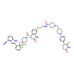 N#Cc1cccc2[nH]c(-c3ccccc3OC3(C(F)(F)F)CCN(C(=O)[C@H]4CC(=O)Nc5cc(OCCNC(=O)C6CCN(CC7CCN(c8ccc(C9CCC(=O)NC9=O)cn8)CC7)CC6)ccc54)CC3)cc12